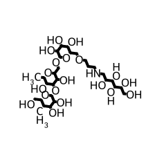 CC1OC(COC2OC(COCCCNC[C@@H](O)[C@@H](O)[C@@H](O)[C@H](O)CO)C(O)C(O)C2O)C(O)C(OC2OC(CO)C(C)C(O)C2O)C1O